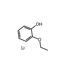 CCOc1ccccc1O.[Li]